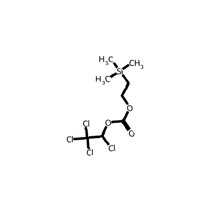 C[Si](C)(C)CCOC(=O)OC(Cl)C(Cl)(Cl)Cl